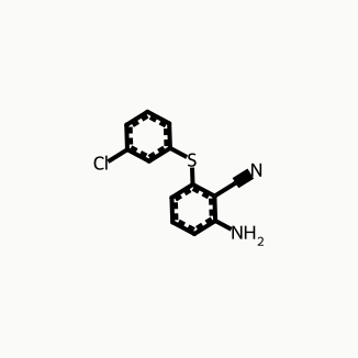 N#Cc1c(N)cccc1Sc1cccc(Cl)c1